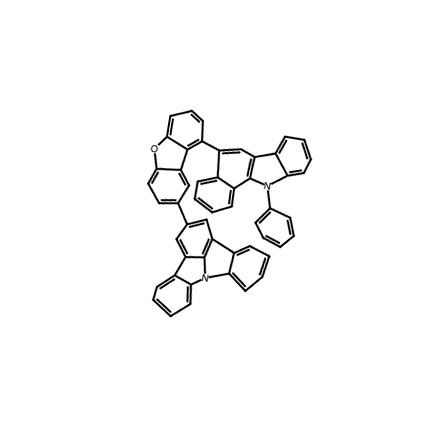 c1ccc(-n2c3ccccc3c3cc(-c4cccc5oc6ccc(-c7cc8c9ccccc9n9c%10ccccc%10c(c7)c89)cc6c45)c4ccccc4c32)cc1